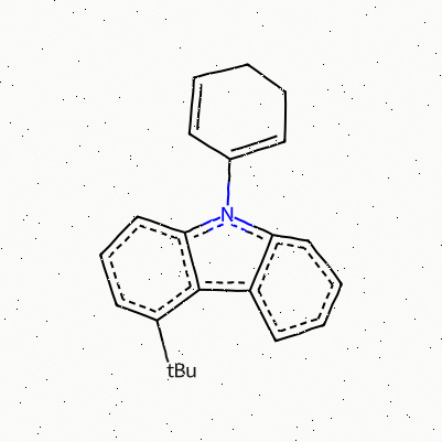 CC(C)(C)c1cccc2c1c1ccccc1n2C1=CCCC=C1